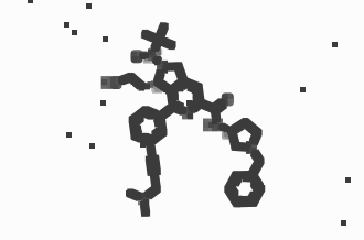 CN(C)CC#Cc1cccc(-c2nc(C(=O)N[C@H]3CCN(Cc4ccccc4)C3)cc3c2[C@H](CCO)N([S@@+]([O-])C(C)(C)C)C3)c1